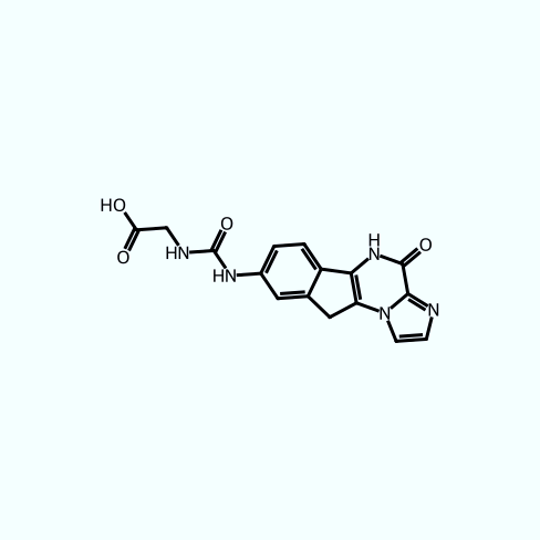 O=C(O)CNC(=O)Nc1ccc2c(c1)Cc1c-2[nH]c(=O)c2nccn12